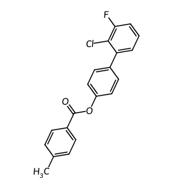 Cc1ccc(C(=O)Oc2ccc(-c3cccc(F)c3Cl)cc2)cc1